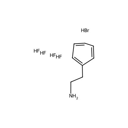 Br.F.F.F.F.NCCc1ccccc1